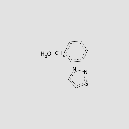 C.O.c1ccccc1.c1csnn1